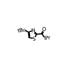 CC(C)C(=O)c1nc(C(C)(C)C)cs1